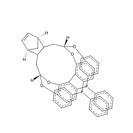 C1=C[C@H]2C[C@@H]1C1C[C@@H]3Oc4ccc(P(c5ccccc5)c5ccccc5)c(c4O3)-c3c(P(c4ccccc4)c4ccccc4)ccc4c3O[C@@H](CC12)O4